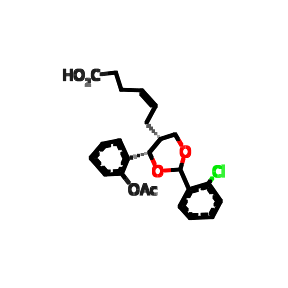 CC(=O)Oc1ccccc1[C@H]1OC(c2ccccc2Cl)OC[C@H]1C/C=C\CCC(=O)O